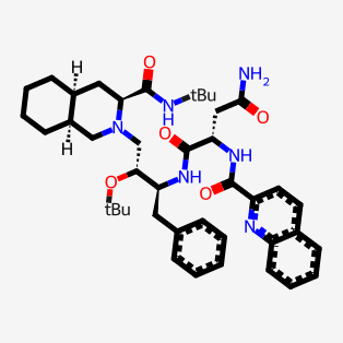 CC(C)(C)NC(=O)[C@@H]1C[C@@H]2CCCC[C@@H]2CN1C[C@@H](OC(C)(C)C)[C@H](Cc1ccccc1)NC(=O)[C@H](CC(N)=O)NC(=O)c1ccc2ccccc2n1